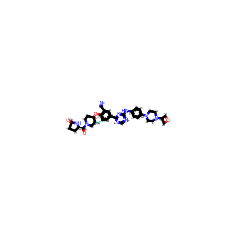 N#Cc1cc(-c2ncnc(Nc3ccc(N4CCN(C5COC5)CC4)cc3)n2)ccc1OC1CCN(C(=O)[C@H]2CCC(=O)N2)C[C@@H]1F